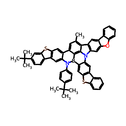 Cc1cc2c3c4c1c1cc5c(cc1n4-c1cc4c(cc1B3N(c1ccc(C(C)(C)C)cc1)c1cc3c(cc1-2)sc1cc(C(C)(C)C)ccc13)sc1ccccc14)oc1ccccc15